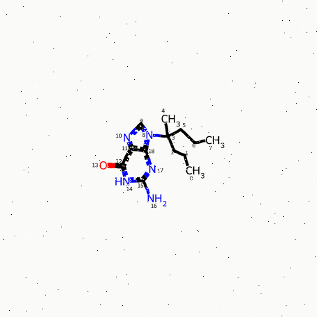 CCCC(C)(CCC)n1cnc2c(=O)[nH]c(N)nc21